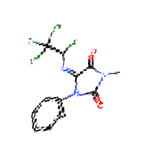 CN1C(=O)C(=NC(Cl)C(Cl)(Cl)Cl)N(c2ccccc2)C1=O